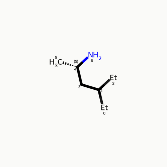 CCC(CC)C[C@H](C)N